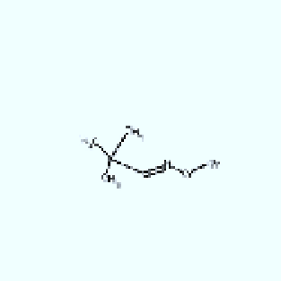 CC(C)ON=CC(C)(C)C